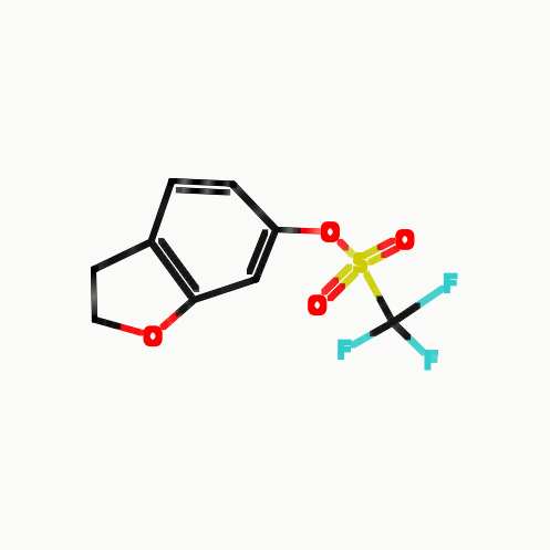 O=S(=O)(Oc1ccc2c(c1)OCC2)C(F)(F)F